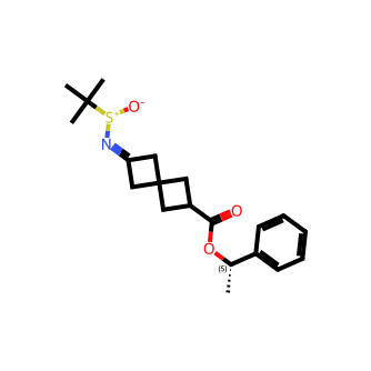 C[C@H](OC(=O)C1CC2(CC(=N[S+]([O-])C(C)(C)C)C2)C1)c1ccccc1